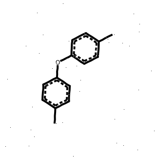 [CH2]c1ccc(Oc2ccc([CH2])cc2)cc1